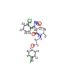 CCN(CCCOc1ccc(F)cc1)C(=O)C1C(c2ccccc2Cl)=NOC1C